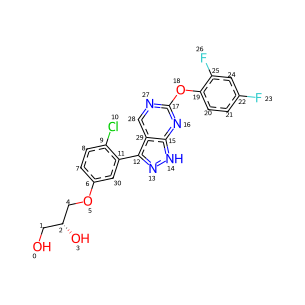 OC[C@@H](O)COc1ccc(Cl)c(-c2n[nH]c3nc(Oc4ccc(F)cc4F)ncc23)c1